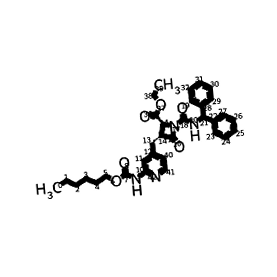 CCCCCCOC(=O)Nc1cc(C[C@H]2C(=O)N(C(=O)NC(c3ccccc3)c3ccccc3)[C@@H]2C(=O)OCC)ccn1